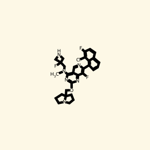 CN(CC1(F)CNC1)c1nc(OCC23CCCN2CCC3)nc2c(F)c(-c3cccc4ccc(F)c(Cl)c34)ncc12